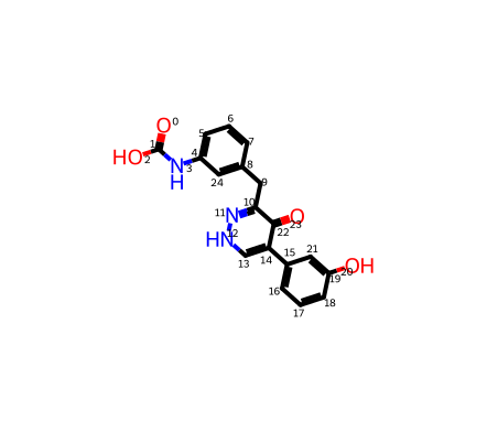 O=C(O)Nc1cccc(Cc2n[nH]cc(-c3cccc(O)c3)c2=O)c1